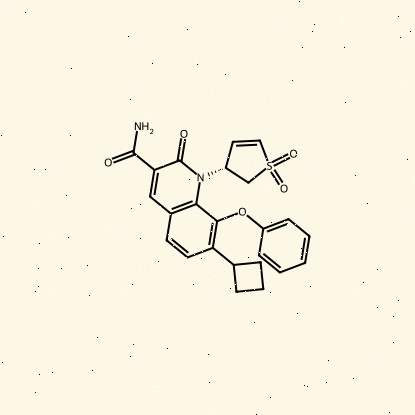 NC(=O)c1cc2ccc(C3CCC3)c(Oc3ccccc3)c2n([C@@H]2C=CS(=O)(=O)C2)c1=O